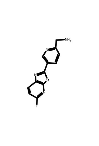 NCc1ccc(-c2nc3ccc(F)nc3o2)cn1